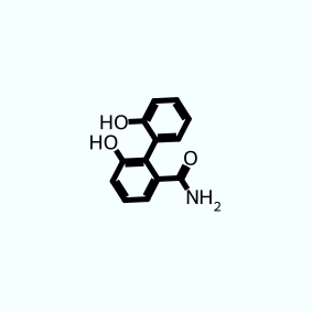 NC(=O)c1cccc(O)c1-c1ccccc1O